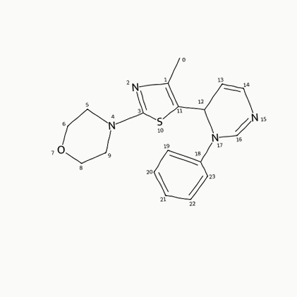 Cc1nc(N2CCOCC2)sc1C1C=CN=CN1c1ccccc1